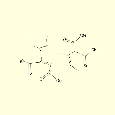 C/C=C(/C)C(C(=O)O)C(=O)O.CCC(CC)/C(=C/C(=O)O)C(=O)O